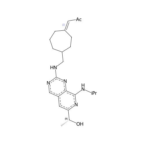 CC(=O)/C=C1/CCCC(CNc2ncc3cc([C@@H](C)O)nc(NC(C)C)c3n2)CC1